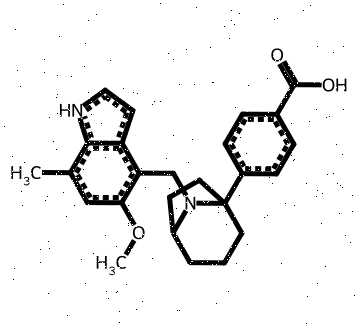 COc1cc(C)c2[nH]ccc2c1CN1C2CCCC1(c1ccc(C(=O)O)cc1)CC2